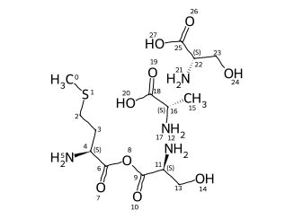 CSCC[C@H](N)C(=O)OC(=O)[C@@H](N)CO.C[C@H](N)C(=O)O.N[C@@H](CO)C(=O)O